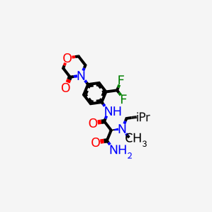 CC(C)CN(C)[C@@H](C(N)=O)C(=O)Nc1ccc(N2CCOCC2=O)cc1C(F)F